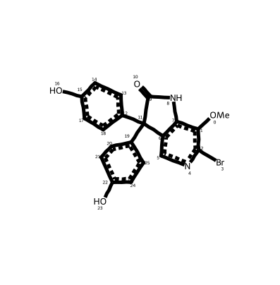 COc1c(Br)ncc2c1NC(=O)C2(c1ccc(O)cc1)c1ccc(O)cc1